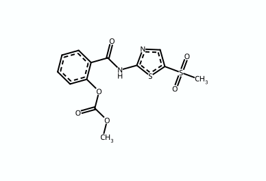 COC(=O)Oc1ccccc1C(=O)Nc1ncc(S(C)(=O)=O)s1